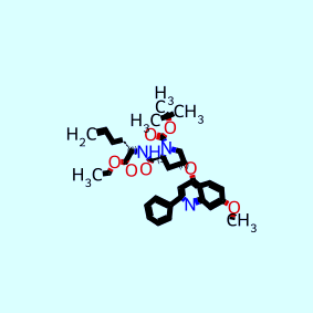 C=CCC[C@H](NC(=O)[C@@H]1C[C@@H](Oc2cc(-c3ccccc3)nc3cc(OC)ccc23)CN1C(=O)OC(C)(C)C)C(=O)OCC